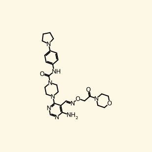 Nc1ncnc(N2CCN(C(=O)Nc3ccc(N4CCCC4)cc3)CC2)c1/C=N/OCC(=O)N1CCOCC1